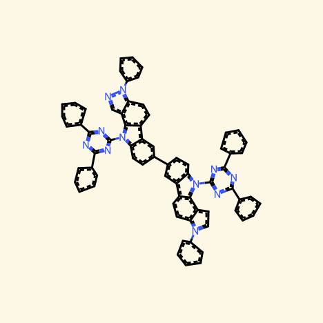 c1ccc(-c2nc(-c3ccccc3)nc(-n3c4ccc(-c5ccc6c(c5)c5ccc7c(cnn7-c7ccccc7)c5n6-c5nc(-c6ccccc6)nc(-c6ccccc6)n5)cc4c4ccc5c(ccn5-c5ccccc5)c43)n2)cc1